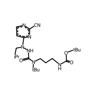 CC(C)CN(NC(=O)N(CCCNC(=O)OC(C)(C)C)C(C)(C)C)c1ccnc(C#N)n1